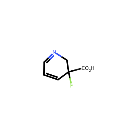 O=C(O)C1(F)C=CC=NC1